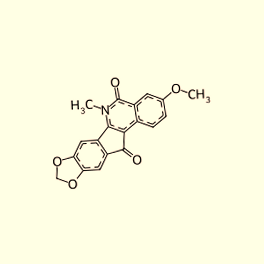 COc1ccc2c3c(n(C)c(=O)c2c1)-c1cc2c(cc1C3=O)OCO2